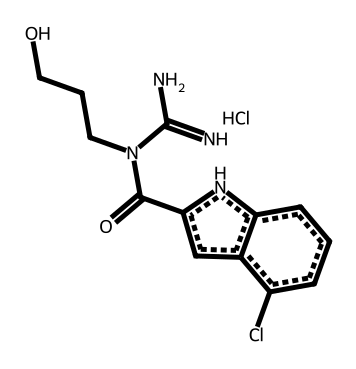 Cl.N=C(N)N(CCCO)C(=O)c1cc2c(Cl)cccc2[nH]1